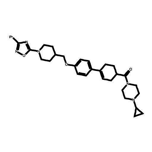 CC(C)c1noc(N2CCC(COc3ccc(C4=CCC(C(=O)N5CCN(C6CC6)CC5)CC4)cc3)CC2)n1